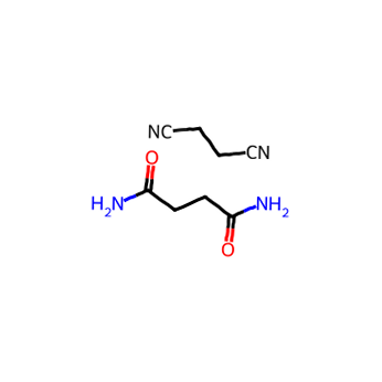 N#CCCC#N.NC(=O)CCC(N)=O